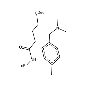 CCCCCCCCCCCCCC(=O)NCCC.Cc1ccc(CN(C)C)cc1